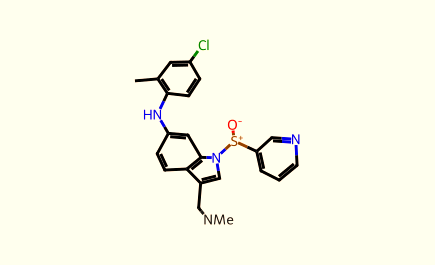 CNCc1cn([S+]([O-])c2cccnc2)c2cc(Nc3ccc(Cl)cc3C)ccc12